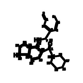 C=C/C=C(\C=C/C)CNc1c(C(=O)N2CCCCC2)cnc2[nH]ccc12